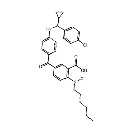 CCCCCC[S+]([O-])c1ccc(C(=O)c2ccc(NC(c3ccc(Cl)cc3)C3CC3)cc2)cc1C(=O)O